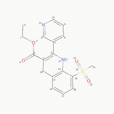 CCOC(=O)C1=C(c2cccnc2)Nc2c(cccc2S(C)(=O)=O)C1